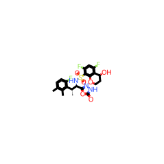 Cc1ccc(F)c([C@@H](C)[C@H](NS(=O)(=O)c2c(F)cc(F)c3c2OCCC3O)c2n[nH]c(=O)o2)c1C